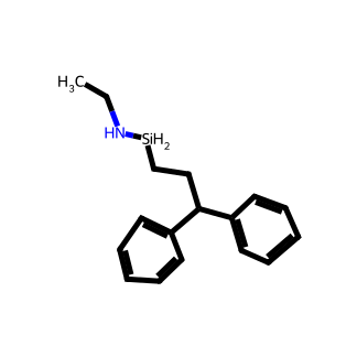 CCN[SiH2]CCC(c1ccccc1)c1ccccc1